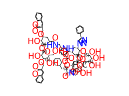 CC1O[C@@H](OC2C(n3cc(-c4ccccc4)nn3)CC(C(=O)NCCNC(=O)C3CC(OCc4cc5ccccc5oc4=O)C(O)[C@H](O[C@@H]4OC(CO)[C@H](O)C(OCc5cc6ccccc6oc5=O)C4O)C3)C[C@H]2O[C@@H]2OC(CO)[C@H](O)C(O[C@@H](CC3CCCCC3)C(=O)N3CCC3)C2OC(=O)c2ccccc2)C(O)C(O)[C@@H]1O